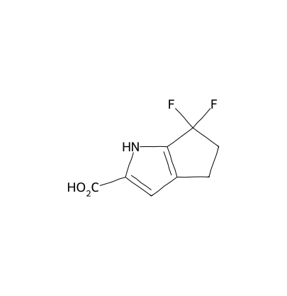 O=C(O)c1cc2c([nH]1)C(F)(F)CC2